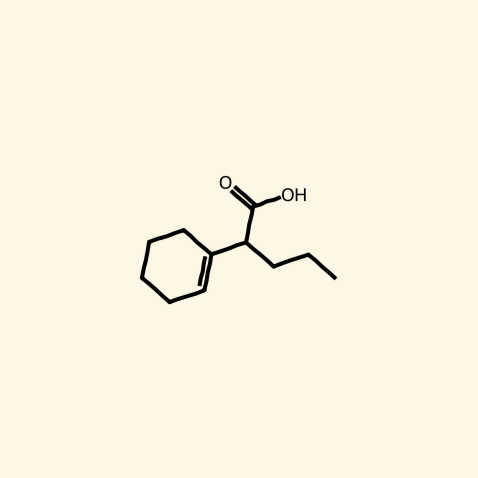 CCCC(C(=O)O)C1=CCCCC1